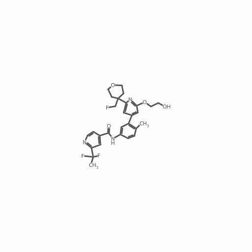 Cc1ccc(NC(=O)c2ccnc(C(C)(F)F)c2)cc1-c1cc(OCCO)nc(C2(CF)CCOCC2)c1